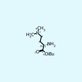 CC(C)COC(=O)[C@@H](N)CCN(C)C